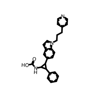 O=C(O)NC1C(c2ccccc2)C1c1ccc2c(ccn2CCCc2ccncc2)c1